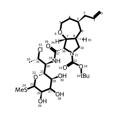 C=CC[C@@H]1CCO[C@@H]2[C@@H](C1)CN(C(=O)OC(C)(C)C)[C@@H]2C(=O)N[C@@H]([C@H]1OC(SC)[C@H](O)C(O)[C@@H]1O)[C@H](C)Cl